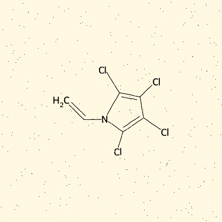 C=Cn1c(Cl)c(Cl)c(Cl)c1Cl